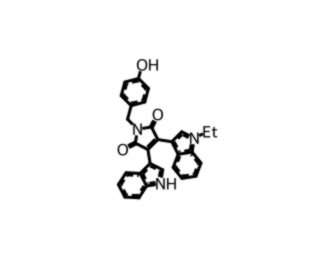 CCn1cc(C2=C(c3c[nH]c4ccccc34)C(=O)N(Cc3ccc(O)cc3)C2=O)c2ccccc21